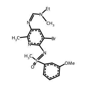 CCN(C)/C=N\c1cc(Br)c(N=S(C)(=O)c2cccc(OC)c2)nc1C